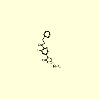 CC(=O)NC[C@H]1CN(c2cnc(C(=O)CCc3ccccc3)c(F)c2)C(=O)O1